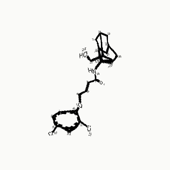 O=C(CCCOc1ccc(Cl)cc1Cl)NC1C2CC3CC(C2)C(CO)C1C3